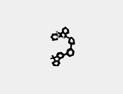 CC1(C)c2ccccc2-c2cc(-c3cccc(-c4cccc(-c5nc6c(nc7ccccn76)c6ccccc56)c4)c3)ccc21